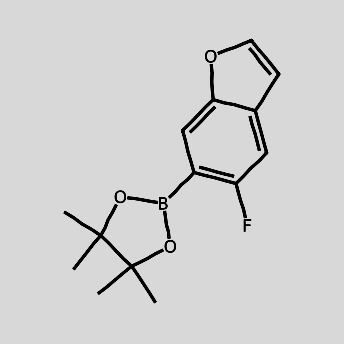 CC1(C)OB(c2cc3occc3cc2F)OC1(C)C